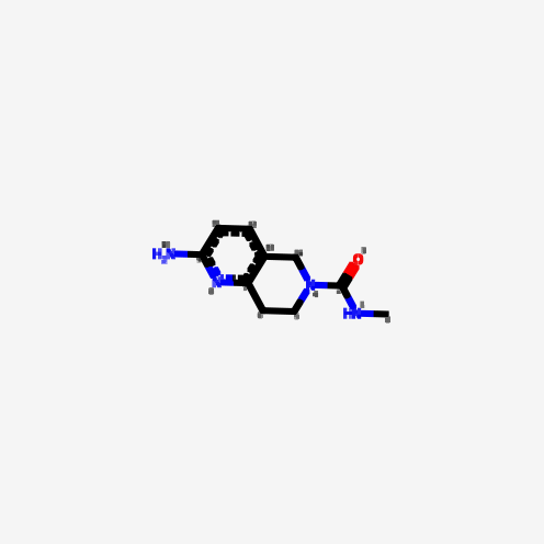 CNC(=O)N1CCc2nc(N)ccc2C1